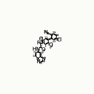 COc1cn(C(F)C(=O)Nc2ccc3nccnc3c2)c(=O)cc1-c1cc(Cl)ccc1C#N